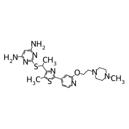 Cc1sc(-c2ccnc(OCCN3CCN(C)CC3)c2)nc1C(C)Sc1nc(N)cc(N)n1